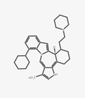 O=C(O)c1c[nH]c2c1=Cn1c(cc3cccc(C4CCCCC4)c31)[C@H]1C=2CCCC1CCN1CCCCC1